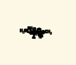 CC1CC(c2cccc(-n3cc(C4CC4)c4cc(CN(C)C5CC5)[nH]c4c3=O)c2)(c2nncn2C)C1